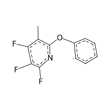 Cc1c(Oc2[c]cccc2)nc(F)c(F)c1F